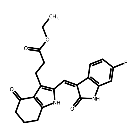 CCOC(=O)CCc1c(C=C2C(=O)Nc3cc(F)ccc32)[nH]c2c1C(=O)CCC2